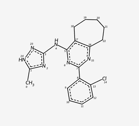 Cc1nc(Nc2nc(-c3ccccc3Cl)nc3c2CCCCC3)n[nH]1